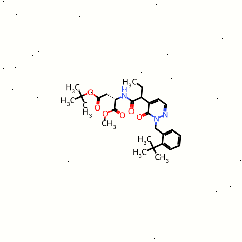 CCC(C(=O)N[C@@H](CC(=O)OC(C)(C)C)C(=O)OC)c1ccnn(Cc2ccccc2C(C)(C)C)c1=O